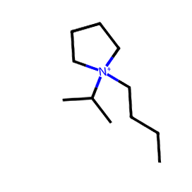 CCCC[N+]1(C(C)C)CCCC1